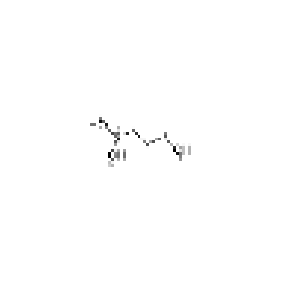 OCCCB(O)O